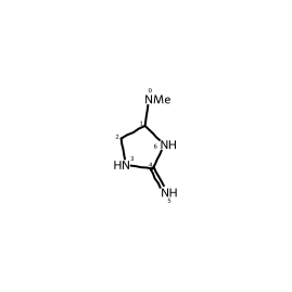 CNC1CNC(=N)N1